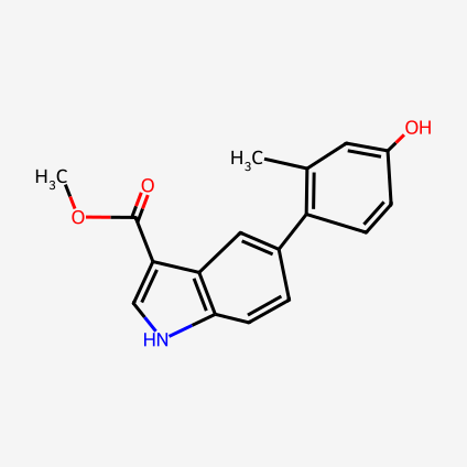 COC(=O)c1c[nH]c2ccc(-c3ccc(O)cc3C)cc12